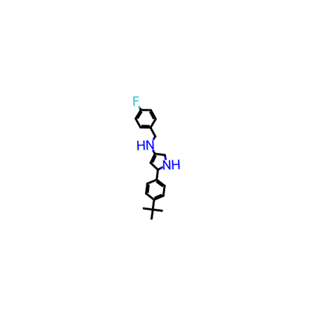 CC(C)(C)c1ccc(C2C=C(NCc3ccc(F)cc3)CN2)cc1